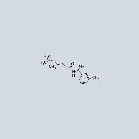 Cc1[c]ccc(C(=N)NC(=O)OCCOC(C)(C)C)c1